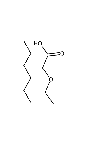 CCCCCC.CCOCC(=O)O